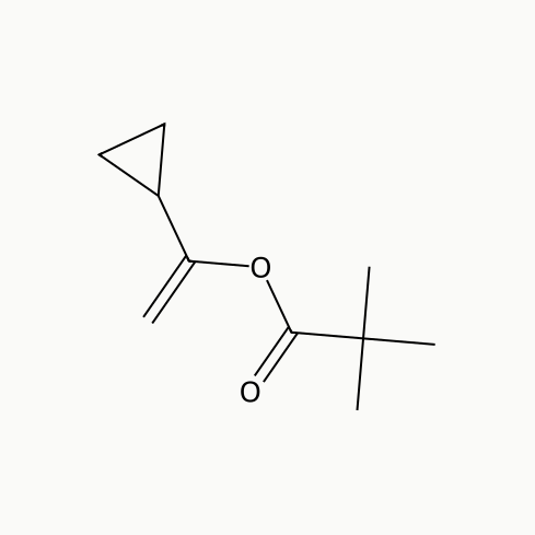 C=C(OC(=O)C(C)(C)C)C1CC1